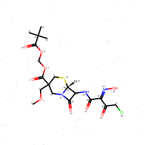 COCC1(C(=O)OCOC(=O)C(C)(C)C)CS[C@@H]2C(NC(=O)C(=NO)C(=O)CCl)C(=O)N2C1